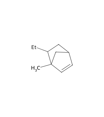 CCC1CC2C=CC1(C)C2